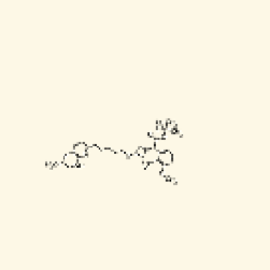 COc1cccc(C(C(=O)OC(C)(C)C)N2CC(OCCCCCc3ccc4c(n3)NCC(C)C4)C2)c1C1CC1